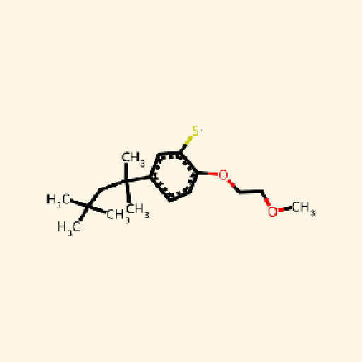 COCCOc1ccc(C(C)(C)CC(C)(C)C)cc1[S]